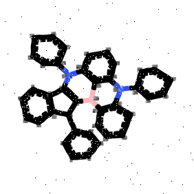 c1ccc(C2C3=C(c4ccccc42)N(c2ccccc2)c2cccc4c2B3c2ccccc2N4c2ccccc2)cc1